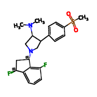 CN(C)C1CN([C@H]2C[C@H](F)c3cccc(F)c32)CC1c1ccc(S(C)(=O)=O)cc1